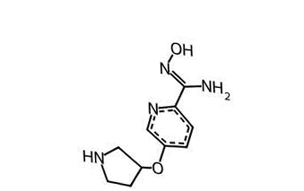 NC(=NO)c1ccc(OC2CCNC2)cn1